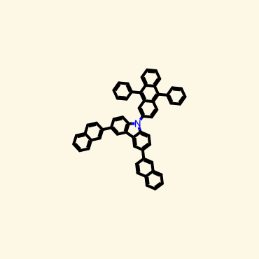 c1ccc(-c2c3ccccc3c(-c3ccccc3)c3cc(-n4c5ccc(-c6ccc7ccccc7c6)cc5c5cc(-c6ccc7ccccc7c6)ccc54)ccc23)cc1